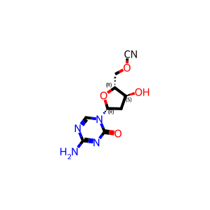 N#COC[C@H]1O[C@@H](n2cnc(N)nc2=O)C[C@@H]1O